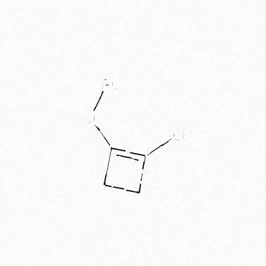 CC(=O)OC1=C(Cl)CC1